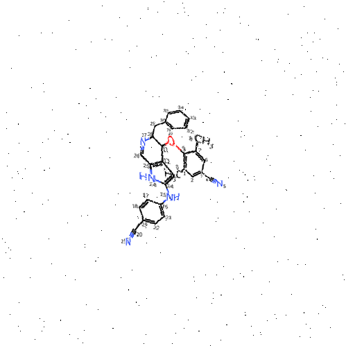 Cc1cc(C#N)cc(C)c1OC1c2cc(Nc3ccc(C#N)cc3)[nH]c2C=NC1Cc1ccccc1